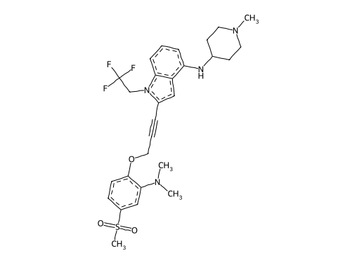 CN1CCC(Nc2cccc3c2cc(C#CCOc2ccc(S(C)(=O)=O)cc2N(C)C)n3CC(F)(F)F)CC1